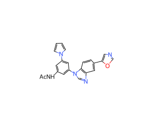 CC(=O)Nc1cc(-n2cccc2)cc(-n2cnc3cc(-c4cnco4)ccc32)c1